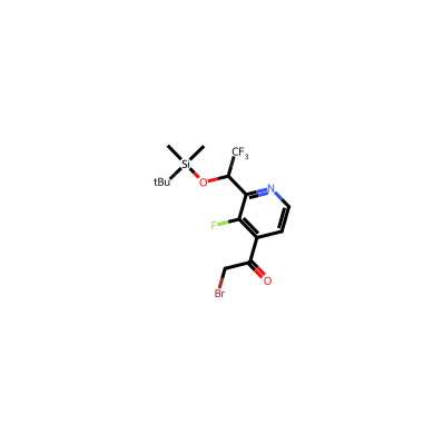 CC(C)(C)[Si](C)(C)OC(c1nccc(C(=O)CBr)c1F)C(F)(F)F